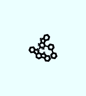 c1ccc(-c2cccc(-c3nc(-n4c5ccccc5c5ccc6c7ccccc7sc6c54)nc4sc5ccccc5c34)c2)cc1